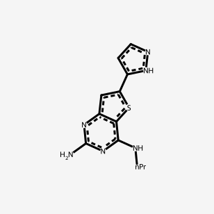 CCCNc1nc(N)nc2cc(-c3ccn[nH]3)sc12